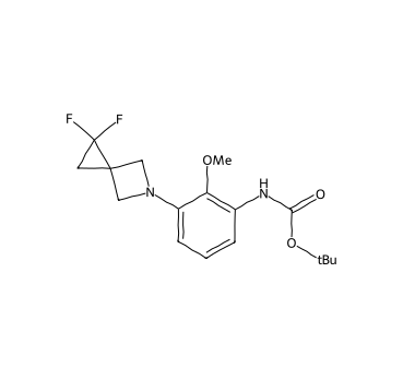 COc1c(NC(=O)OC(C)(C)C)cccc1N1CC2(C1)CC2(F)F